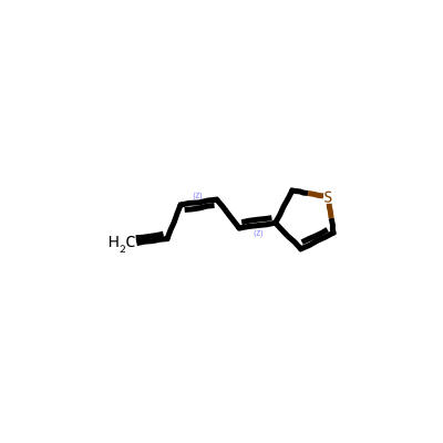 C=C/C=C\C=C1\C=CSC1